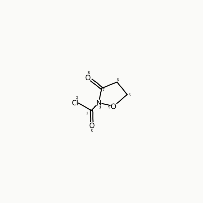 O=C(Cl)N1OCCC1=O